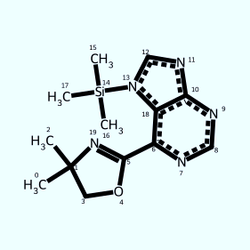 CC1(C)COC(c2ncnc3ncn([Si](C)(C)C)c23)=N1